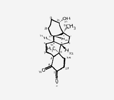 C[C@]12CC[C@H]3[C@@H](CCC4C(=O)C(=O)CC[C@@]43C)[C@@H]1CC[C@@H]2O